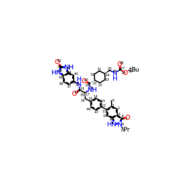 Cc1cc2c(=O)n(C(C)C)[nH]c2cc1-c1ccc(C[C@H](NC(=O)[C@H]2CC[C@H](CNC(=O)OC(C)(C)C)CC2)C(=O)Nc2ccc3[nH]c(=O)[nH]c3c2)cc1